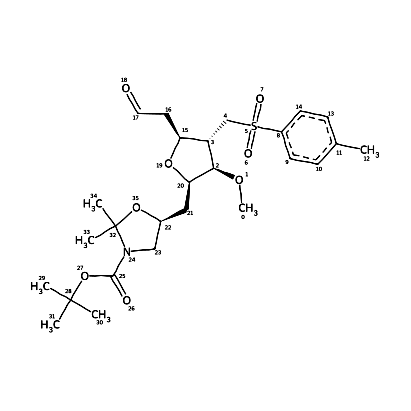 CO[C@@H]1[C@@H](CS(=O)(=O)c2ccc(C)cc2)[C@H](CC=O)O[C@@H]1C[C@H]1CN(C(=O)OC(C)(C)C)C(C)(C)O1